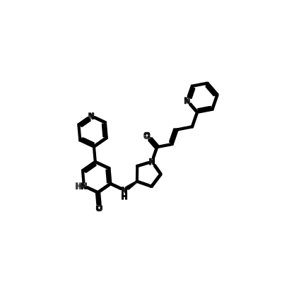 O=C(C=CCc1ccccn1)N1CC[C@@H](Nc2cc(-c3ccncc3)c[nH]c2=O)C1